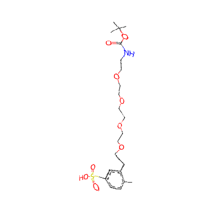 Cc1ccc(S(=O)(=O)O)cc1CCOCCOCCOCCOCCNC(=O)OC(C)(C)C